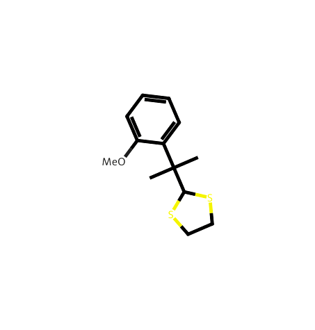 COc1ccccc1C(C)(C)C1SCCS1